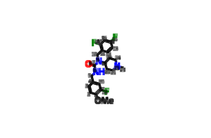 COc1ccc(CNC(=O)N(Cc2ccc(F)cc2F)C2CCN(C)CC2)cc1F